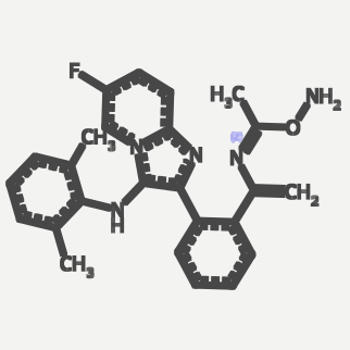 C=C(/N=C(/C)ON)c1ccccc1-c1nc2ccc(F)cn2c1Nc1c(C)cccc1C